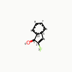 O=C1C(F)=Cc2ccccc21